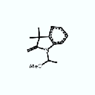 C=C1N(C(C)OC)c2ccccc2C1(C)C